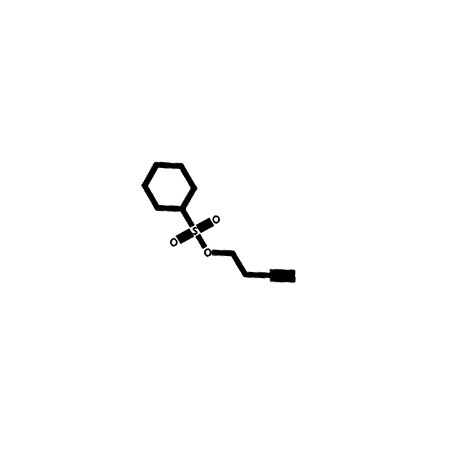 C#CCCOS(=O)(=O)C1CCCCC1